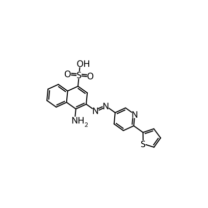 Nc1c(N=Nc2ccc(-c3cccs3)nc2)cc(S(=O)(=O)O)c2ccccc12